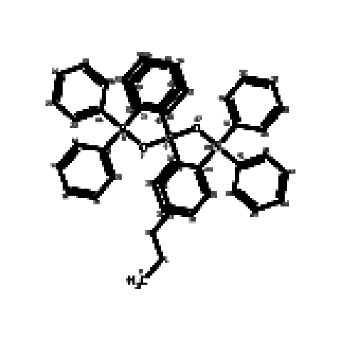 [CH2]CCCCC[Si](O[Si](c1ccccc1)(c1ccccc1)c1ccccc1)(O[Si](c1ccccc1)(c1ccccc1)c1ccccc1)c1ccccc1